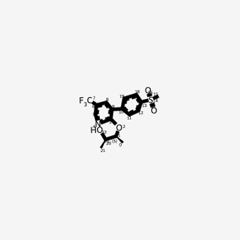 C[C@H](Oc1ncc(C(F)(F)F)cc1-c1ccc(S(C)(=O)=O)cc1)[C@@H](C)O